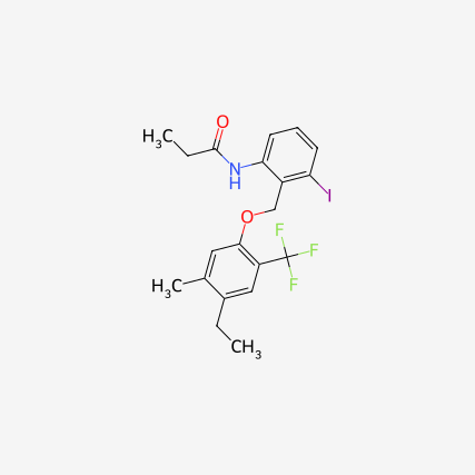 CCC(=O)Nc1cccc(I)c1COc1cc(C)c(CC)cc1C(F)(F)F